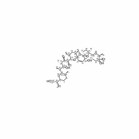 CC[C@@H](C(=O)O)C1CC[C@H](C)[C@H]([C@@H](C)[C@H](O)[C@H](C)C(=O)[C@H](CC)[C@H]2O[C@@]3(C=C[C@@H](O)[C@@]4(CC[C@@](C)([C@H]5CC[C@](O)(CC)[C@H](C)O5)O4)O3)[C@H](C)C[C@@H]2C)O1